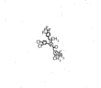 CC1CN(CC(=O)N2CC(c3ccc(Cl)c(Cl)c3)C(N(C)Cc3ccc(C(F)(F)F)c(F)c3)C2)CC(C)N1